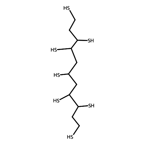 SCCC(S)C(S)CC(S)CC(S)C(S)CCS